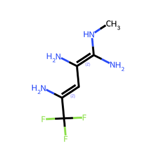 CN/C(N)=C(N)/C=C(\N)C(F)(F)F